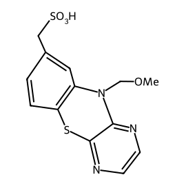 COCN1c2cc(CS(=O)(=O)O)ccc2Sc2nccnc21